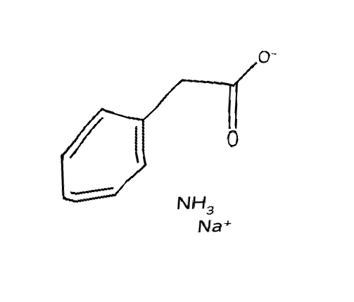 N.O=C([O-])Cc1ccccc1.[Na+]